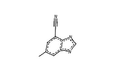 Cc1cc(C#N)c2ncnn2c1